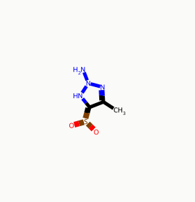 Cc1nn(N)[nH]c1=S(=O)=O